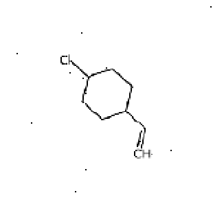 [CH]=CC1CCC(Cl)CC1